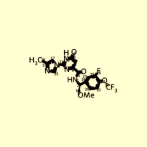 COC[C@@H](NC(=O)c1cc(=O)[nH]c(-n2cnc(C)c2)n1)c1ccc(OC(F)(F)F)c(F)c1